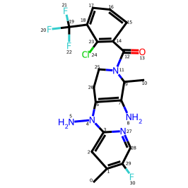 Cc1cc(N(N)C2=C(N)C(C)N(C(=O)c3cccc(C(F)(F)F)c3Cl)CC2)ncc1F